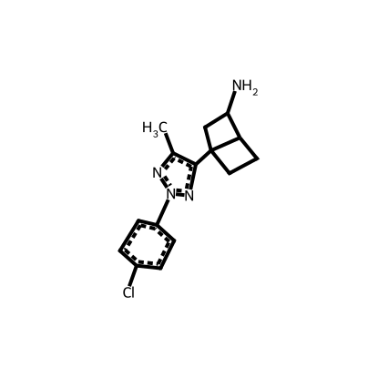 Cc1nn(-c2ccc(Cl)cc2)nc1C12CCC1C(N)C2